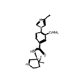 COc1cc(C(=O)N[C@@H]2CNCCC2(F)F)ccc1-n1cnc(C)c1